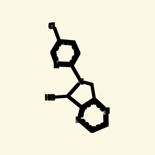 OC1c2nccnc2CN1c1ccc(Cl)cn1